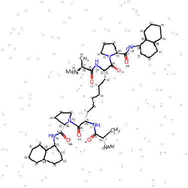 CN[C@@H](C)C(=O)N[C@@H](CCCCCC[C@H](NC(=O)[C@H](C)NC)C(=O)N1CCC[C@H]1C(=O)NC1CCCC2CCCCC21)C(=O)N1CCC[C@H]1C(=O)NC1CCCC2CCCCC21